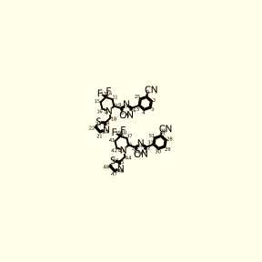 N#Cc1cccc(-c2noc(C3CC(F)(F)CCN3Cc3nccs3)n2)c1.N#Cc1cccc(-c2noc(C3CC(F)(F)CCN3Cc3nccs3)n2)c1